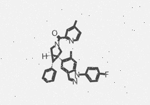 Cc1ccnc(C(=O)N2C[C@@H]3[C@@H](c4ccccc4)[C@]3(c3cc4cnn(-c5ccc(F)cc5)c4cc3C)C2)c1